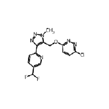 Cn1nnc(-c2ccc(C(F)F)cn2)c1COc1ccc(Cl)nn1